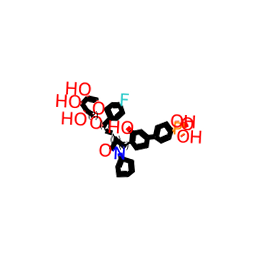 O=C1[C@H](CC[C@H](O[C@@H]2OC=C(O)C(O)C2O)c2ccc(F)cc2)[C@@H](c2ccc(-c3ccc(P(=O)(O)O)cc3)cc2O)N1c1ccccc1